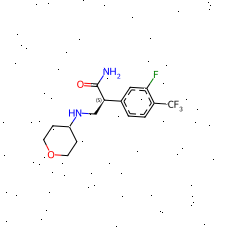 NC(=O)[C@H](CNC1CCOCC1)c1ccc(C(F)(F)F)c(F)c1